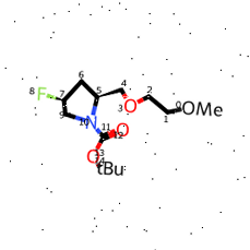 COCCOC[C@@H]1C[C@H](F)CN1C(=O)OC(C)(C)C